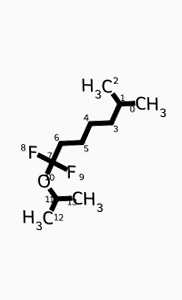 CC(C)CCCCC(F)(F)OC(C)C